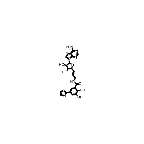 Nc1ncnc2c1ncn2C1OC(/C=C/CNC(=O)c2cc(-c3nccs3)cc(O)c2O)C(O)C1O